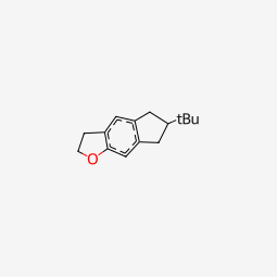 CC(C)(C)C1Cc2cc3c(cc2C1)OCC3